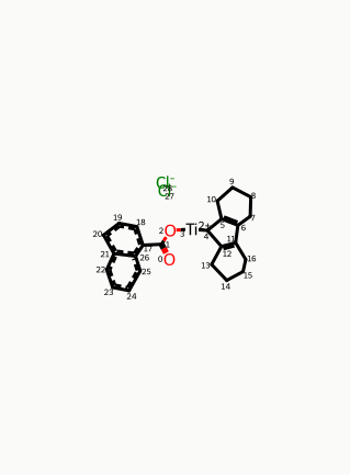 O=C([O][Ti+2][CH]1C2=C(CCCC2)C2=C1CCCC2)c1cccc2ccccc12.[Cl-].[Cl-]